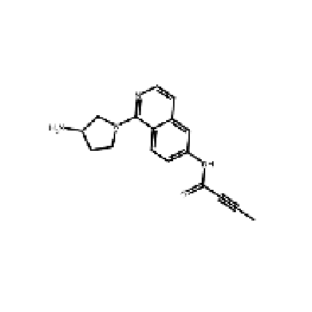 CC#CC(=O)Nc1ccc2c(N3CCC(N)C3)nccc2c1